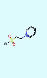 CCS(=O)(=O)CC[n+]1ccccc1